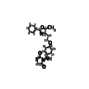 Cc1oc(-c2ccccc2)nc1CCOc1ccc(NN2C(=O)CSC2=O)cc1